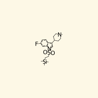 C[Si](C)(C)CCS(=O)(=O)n1cc(C2CC[N]CC2)c2ccc(F)cc21